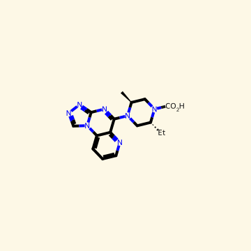 CC[C@@H]1CN(c2nc3nncn3c3cccnc23)[C@@H](C)CN1C(=O)O